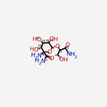 NC(=O)C(CO)O[C@H]1OC(N)(C(N)=O)[C@@H](O)C(O)C1O